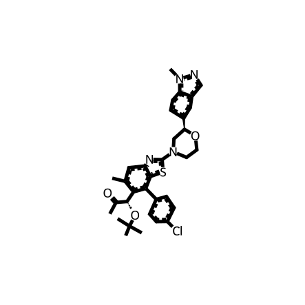 CC(=O)[C@@H](OC(C)(C)C)c1c(C)cc2nc(N3CCO[C@H](c4ccc5c(cnn5C)c4)C3)sc2c1-c1ccc(Cl)cc1